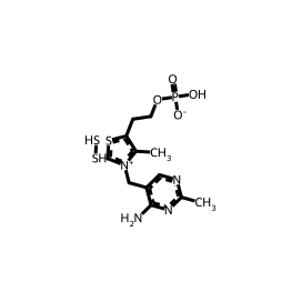 Cc1ncc(C[n+]2csc(CCOP(=O)([O-])O)c2C)c(N)n1.SS